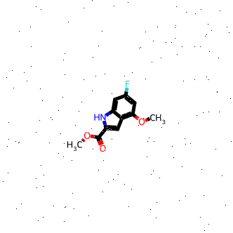 COC(=O)c1cc2c(OC)cc(F)cc2[nH]1